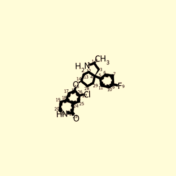 CC(N)C[C@]1(c2ccc(F)cc2)CC[C@H](Oc2cc3cc[nH]c(=O)c3cc2Cl)CC1